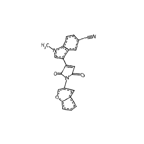 Cn1cc(C2=CC(=O)N(c3coc4cccc-4c3)C2=O)c2cc(C#N)ccc21